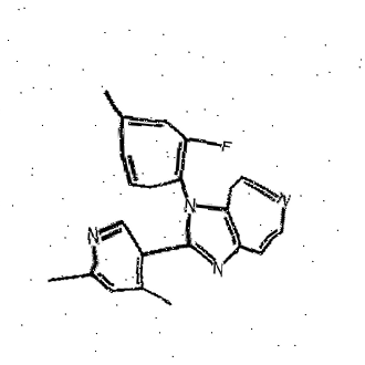 Cc1ccc(-n2c(-c3cnc(C)cc3C)nc3ccncc32)c(F)c1